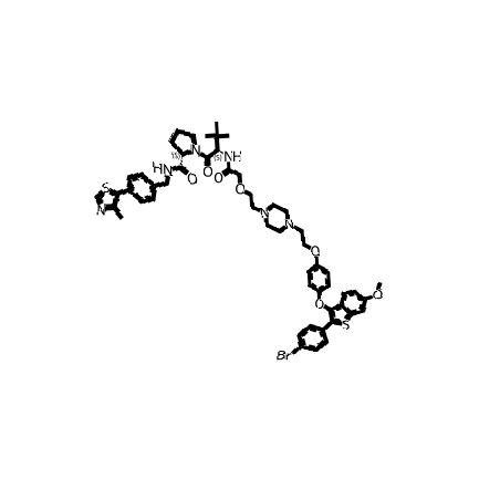 COc1ccc2c(Oc3ccc(OCCN4CCN(CCOCC(=O)N[C@H](C(=O)N5CCC[C@H]5C(=O)NCc5ccc(-c6scnc6C)cc5)C(C)(C)C)CC4)cc3)c(-c3ccc(Br)cc3)sc2c1